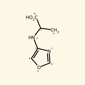 CC(Nc1cocn1)C(=O)O